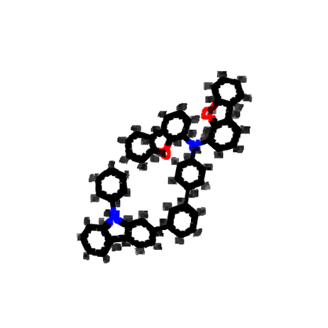 c1ccc(-n2c3ccccc3c3ccc(-c4cccc(-c5ccc(N(c6cccc7c6oc6ccccc67)c6cccc7c6oc6ccccc67)cc5)c4)cc32)cc1